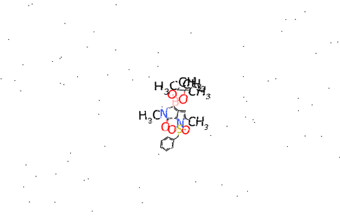 Cc1cc2c(B3OC(C)(C)C(C)(C)O3)cn(C)c(=O)c2n1S(=O)(=O)Cc1ccccc1